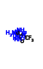 NNc1nc(N)cc(C(CCNC2CCCCC2)c2cnn(CCC(F)(F)F)c2)c1N